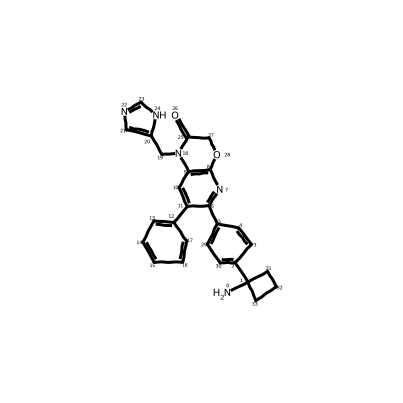 NC1(c2ccc(-c3nc4c(cc3-c3ccccc3)N(Cc3cnc[nH]3)C(=O)CO4)cc2)CCC1